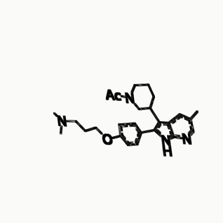 CC(=O)N1CCCC(c2c(-c3ccc(OCCCN(C)C)cc3)[nH]c3ncc(C)cc23)C1